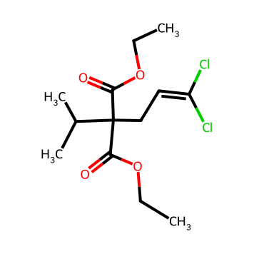 CCOC(=O)C(CC=C(Cl)Cl)(C(=O)OCC)C(C)C